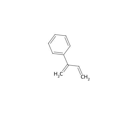 C=CC(=C)c1ccccc1